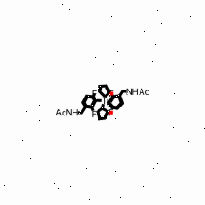 CC(=O)NCc1ccc(F)[c]([Ti]([c]2c(F)ccc(CNC(C)=O)c2F)([CH]2C=CC=C2)[CH]2C=CC=C2)c1F